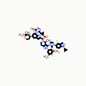 Cc1cc(-n2nc3c(c2N2C=CN(c4ccc5c(cnn5C5CC5)c4F)C2=C=O)[C@H](C)N(C(=O)c2cc4cc([C@H]5CCOC(C)(C)C5)ccc4n2[C@@]2(C4=NOC(=C=O)N4)C[C@@H]2C=O)CC3)cc(C)c1F